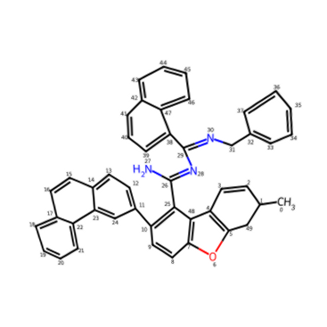 CC1C=Cc2c(oc3ccc(-c4ccc5ccc6ccccc6c5c4)c(/C(N)=N/C(=N\Cc4ccccc4)c4cccc5ccccc45)c23)C1